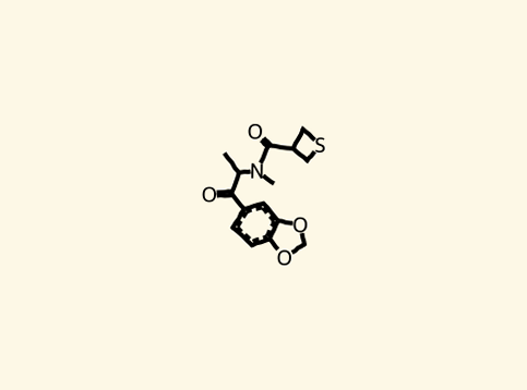 CC(C(=O)c1ccc2c(c1)OCO2)N(C)C(=O)C1CSC1